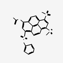 CC(=O)Oc1cc(S(=O)(=O)Oc2ccccc2)c2ccc3c(S(=O)(=O)Cl)cc(S(=O)(=O)Cl)c4ccc1c2c43